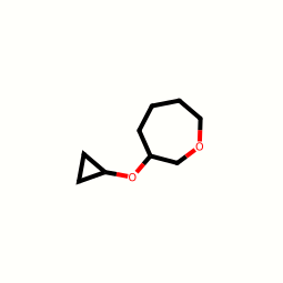 C1CCC(OC2CC2)COC1